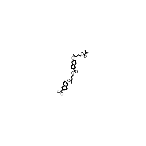 C=C(C)C(=O)OCCCC(C)Oc1ccc2cc(C(=O)OCCCC(C)Oc3ccc4cc(C(=O)OC)ccc4c3)ccc2c1